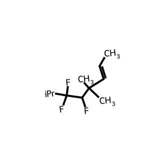 CC=CC(C)(C)C(F)C(F)(F)C(C)C